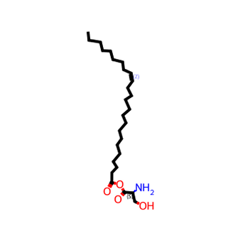 CCCCCCCC/C=C\CCCCCCCCCCCCCC(=O)OC(=O)[C@@H](N)CO